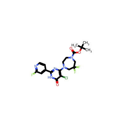 CC(C)(C)OC(=O)N1CCN(c2nc(-c3ccnc(F)c3)[nH]c(=O)c2Cl)CC(F)(F)C1